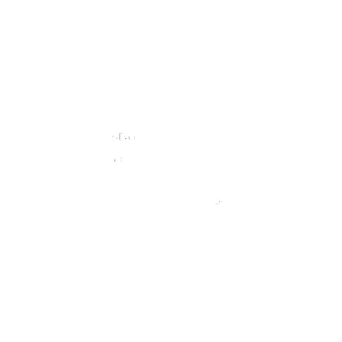 CCCCOc1[c]cc(C(C)C)cc1